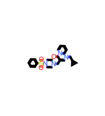 O=c1c(CN2CCN(S(=O)(=O)c3ccccc3)CC2)c[n+](CC2CC2)c2ccccn12